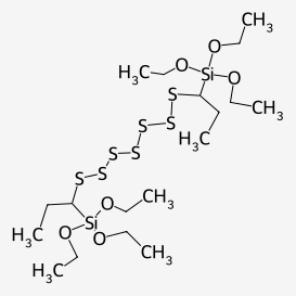 CCO[Si](OCC)(OCC)C(CC)SSSSSSSC(CC)[Si](OCC)(OCC)OCC